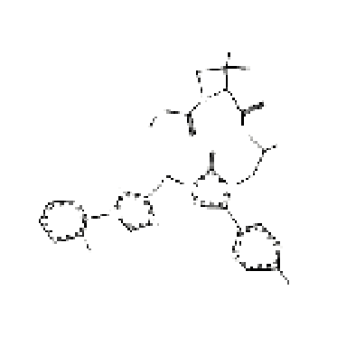 CC(C)(C)OC(=O)N1CC(F)(F)C1C(=O)NC(Cn1c(-c2ccc(Cl)cc2)nn(Cc2ncn(-c3ncccc3Cl)n2)c1=O)C(F)(F)F